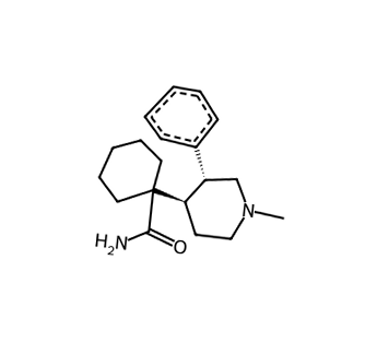 CN1CC[C@@H](C2(C(N)=O)CCCCC2)[C@H](c2ccccc2)C1